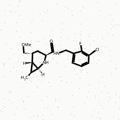 COC[C@@H]1C[C@@H](C(=O)NCc2cccc(Cl)c2F)N[C@H]2[C@@H](C)[C@H]12